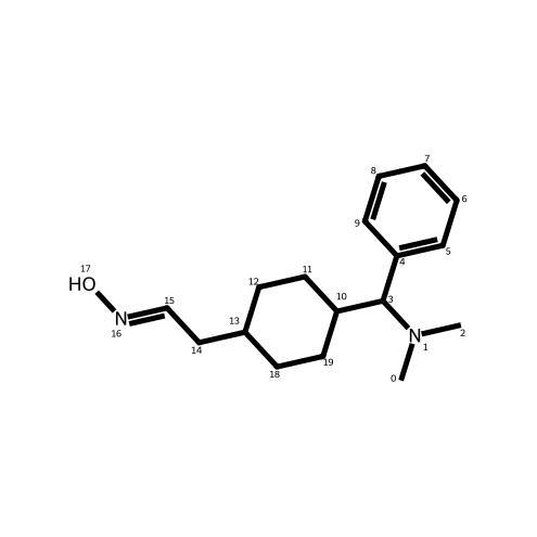 CN(C)C(c1ccccc1)C1CCC(CC=NO)CC1